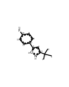 CC(C)(C)c1cc(-c2ccc(F)cc2)on1